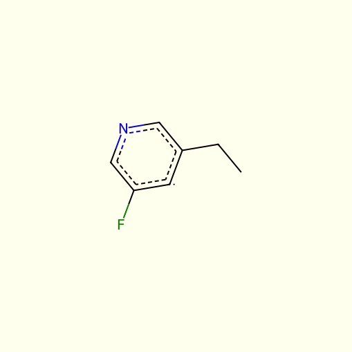 CCc1[c]c(F)cnc1